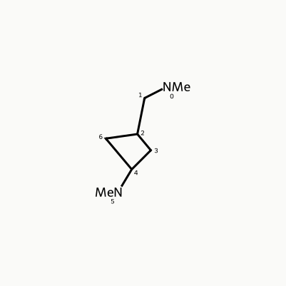 CNCC1CC(NC)C1